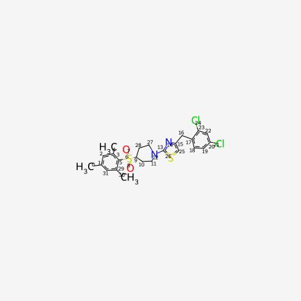 Cc1cc(C)c(S(=O)(=O)C2CCN(c3nc(Cc4ccc(Cl)cc4Cl)cs3)CC2)c(C)c1